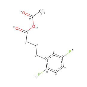 O=C(CCCc1cc(F)ccc1F)OC(=O)C(F)(F)F